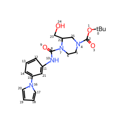 CC(C)(C)OC(=O)N1CCN(C(=O)Nc2cccc(-n3cccc3)c2)C(CO)C1